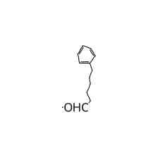 O=[C]CCCCCc1ccccc1